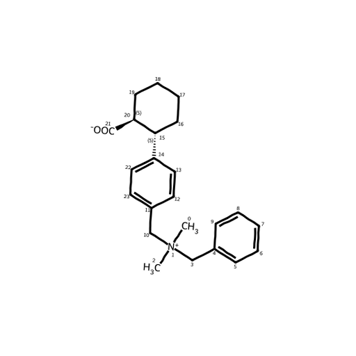 C[N+](C)(Cc1ccccc1)Cc1ccc([C@H]2CCCC[C@@H]2C(=O)[O-])cc1